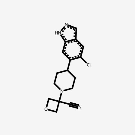 N#CC1(N2CCC(c3cc4[nH]ncc4cc3Cl)CC2)COC1